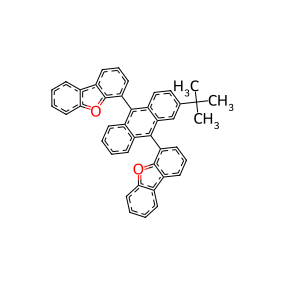 CC(C)(C)c1ccc2c(-c3cccc4c3oc3ccccc34)c3ccccc3c(-c3cccc4c3oc3ccccc34)c2c1